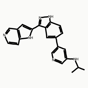 CC(C)Nc1cncc(-c2ccc3[nH]nc(-c4cc5cnccc5[nH]4)c3c2)c1